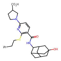 CC(C)CCSc1nc(N2CCC(C(=O)O)C2)ccc1C(=O)NC1C2CC3CC1CC(O)(C3)C2